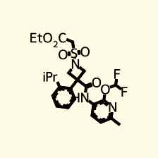 CCOC(=O)CS(=O)(=O)N1CC(C(=O)Nc2ccc(C)nc2OC(F)F)(c2ccccc2C(C)C)C1